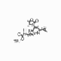 CC(C)(C)OC(=O)NCc1cn2nc(C3CC3)cc(N3CCOC3=O)c2n1